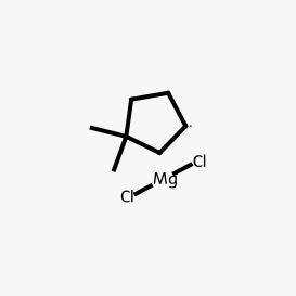 CC1(C)C[CH]CC1.[Cl][Mg][Cl]